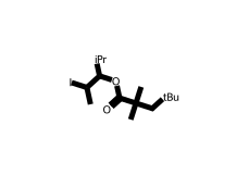 CC(C)C(OC(=O)C(C)(C)CC(C)(C)C)C(C)I